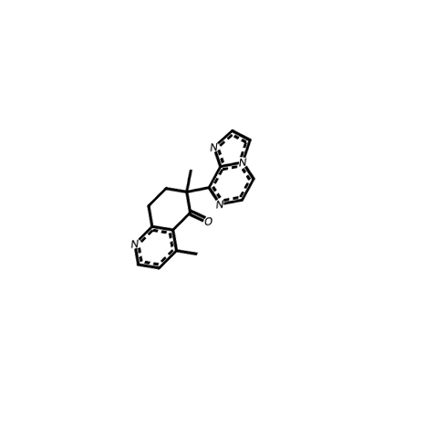 Cc1ccnc2c1C(=O)C(C)(c1nccn3ccnc13)CC2